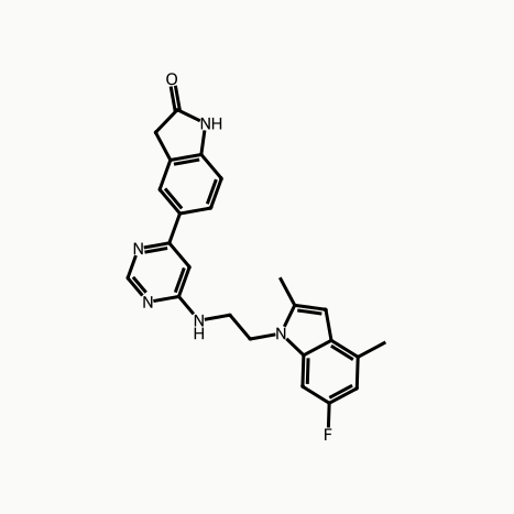 Cc1cc(F)cc2c1cc(C)n2CCNc1cc(-c2ccc3c(c2)CC(=O)N3)ncn1